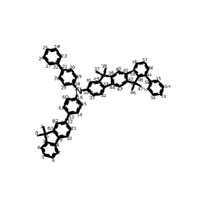 CC1(C)c2ccccc2-c2ccc(-c3ccc(N(c4ccc(-c5ccccc5)cc4)c4ccc5c(c4)C(C)(C)c4cc6c(cc4-5)C(C)(C)c4c(-c5ccccc5)cccc4-6)cc3)cc21